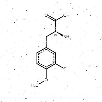 COc1ccc(C[C@H](N)C(=O)O)cc1F